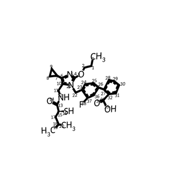 CCCOc1nc(C2CC2)c(CNC(=O)[C@@H](S)CC(C)C)n1Cc1ccc(-c2ccccc2C(=O)O)cc1F